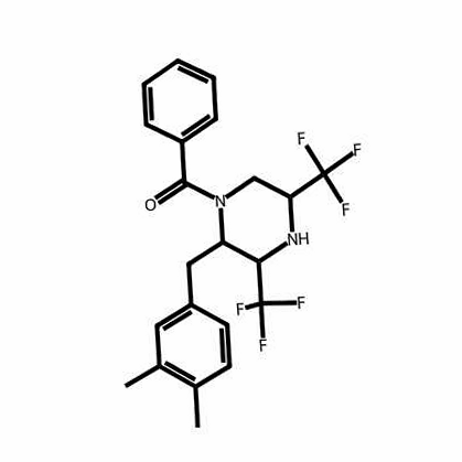 Cc1ccc(CC2C(C(F)(F)F)NC(C(F)(F)F)CN2C(=O)c2ccccc2)cc1C